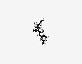 CCOC(=O)C(C)(C)NC(=O)Cc1ccnc(Br)n1